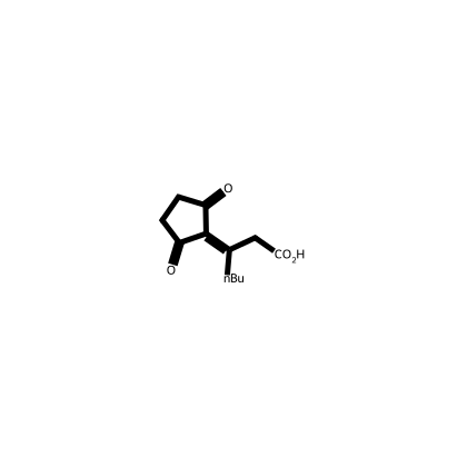 CCCCC(CC(=O)O)=C1C(=O)CCC1=O